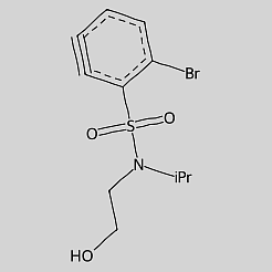 CC(C)N(CCO)S(=O)(=O)c1c#cccc1Br